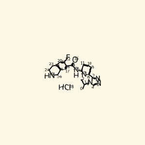 CC(C)n1cnnc1-c1cccc(NC(=O)c2cc3c(cc2F)CCNC3)n1.Cl